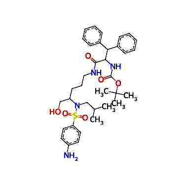 CC(C)CN(C(CO)CCCNC(=O)C(NC(=O)OC(C)(C)C)C(c1ccccc1)c1ccccc1)S(=O)(=O)c1ccc(N)cc1